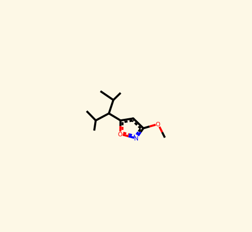 COc1cc(C(C(C)C)C(C)C)on1